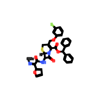 CO/N=C(\C(=O)NC1C(=O)N2C(C(=O)OC(c3ccccc3)c3ccccc3)=C(COc3cccc(F)c3)CS[C@H]12)c1ccco1